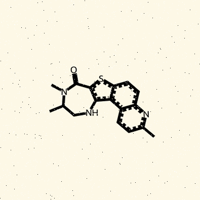 Cc1ccc2c(ccc3sc4c(c32)NCC(C)N(C)C4=O)n1